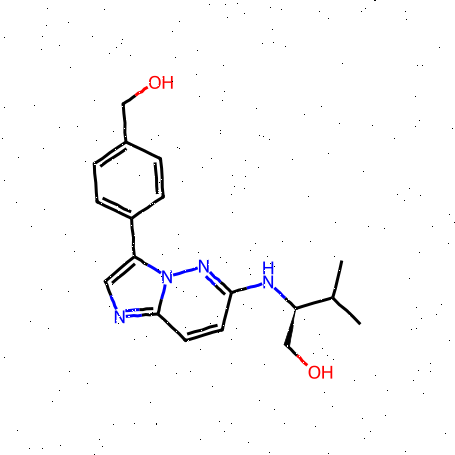 CC(C)[C@@H](CO)Nc1ccc2ncc(-c3ccc(CO)cc3)n2n1